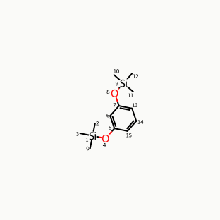 C[Si](C)(C)Oc1[c]c(O[Si](C)(C)C)ccc1